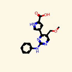 COCc1cnc(Nc2ccccc2)nc1-c1c[nH]c(C(=O)O)c1